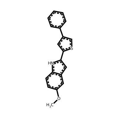 COc1ccc2[nH]c(-c3cc(-c4ccccc4)cs3)cc2c1